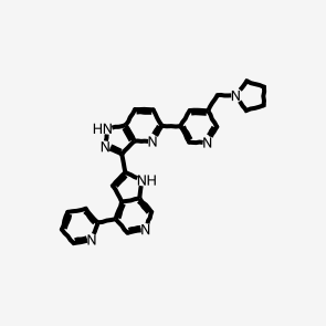 c1ccc(-c2cncc3[nH]c(-c4n[nH]c5ccc(-c6cncc(CN7CCCC7)c6)nc45)cc23)nc1